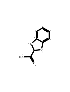 CC(=O)C1Oc2ccccc2O1